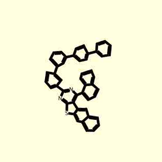 c1ccc(-c2ccc(-c3cccc(-c4cccc(-c5nc(-c6cccc7ccccc67)c6c(n5)sc5cc7ccccc7cc56)c4)c3)cc2)cc1